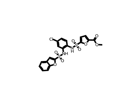 COC(=O)c1ccc(S(=O)(=O)Nc2ccc(Cl)cc2NS(=O)(=O)c2cc3ccccc3o2)o1